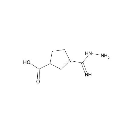 N=C(NN)N1CCC(C(=O)O)C1